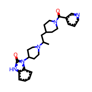 CC(CC1CCN(C(=O)c2cccnc2)CC1)N1CCC(n2c(=O)[nH]c3ccccc32)CC1